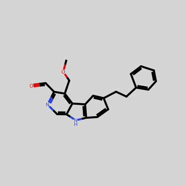 COCc1c(C=O)ncc2[nH]c3ccc(CCc4ccccc4)cc3c12